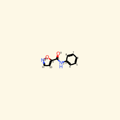 O=C(Nc1ccccc1)c1ccno1